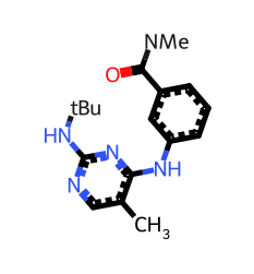 CNC(=O)c1cccc(Nc2nc(NC(C)(C)C)ncc2C)c1